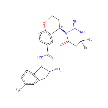 CCC1(CC)CC(=O)N([C@@H]2CCOc3ccc(C(=O)NC4c5ccc(C(F)(F)F)cc5CC4N)cc32)C(=N)N1